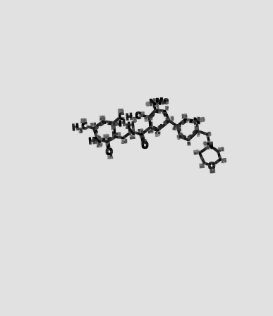 CNc1cc(-c2ccc(CN3CCOCC3)nc2)cc(C(=O)NCc2c(C)cc(C)[nH]c2=O)c1C